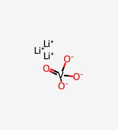 [Li+].[Li+].[Li+].[O]=[V]([O-])([O-])[O-]